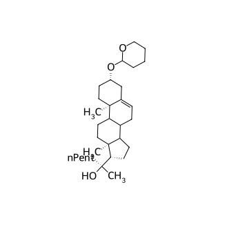 CCCCC[C@](C)(O)[C@H]1CCC2C3CC=C4C[C@@H](OC5CCCCO5)CC[C@]4(C)C3CC[C@@]21C